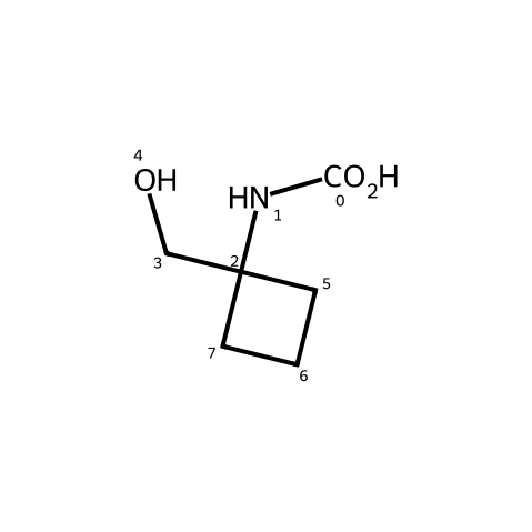 O=C(O)NC1(CO)CCC1